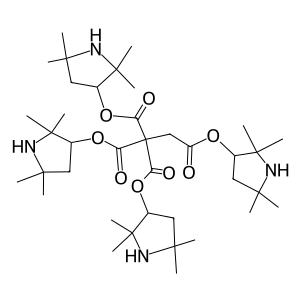 CC1(C)CC(OC(=O)CC(C(=O)OC2CC(C)(C)NC2(C)C)(C(=O)OC2CC(C)(C)NC2(C)C)C(=O)OC2CC(C)(C)NC2(C)C)C(C)(C)N1